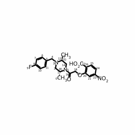 C[C@@H]1CN(Cc2ccc(F)cc2)[C@@H](C)CN1C(=O)COc1cc([N+](=O)[O-])ccc1C(=O)O